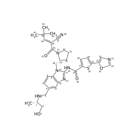 C[C@@H](CO)NCc1ccc2c(c1)nc(NC(=O)c1ccc(-c3cnco3)s1)n2C[C@H]1CCCN1C(=O)C(C#N)=CC(C)(C)C